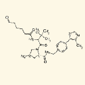 Cc1ncsc1-c1ccc(CNC(=O)[C@@H]2C[C@@H](O)CN2C(=O)C(NC(=O)CCCCC=O)C(C)(C)C)cc1